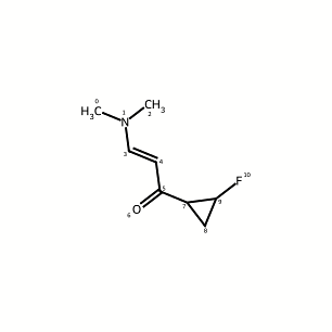 CN(C)C=CC(=O)C1CC1F